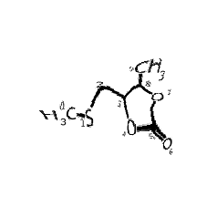 CSCC1OC(=O)OC1C